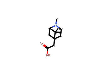 CN1CCC2(CC(=O)O)CC1C2(C)C